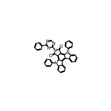 O=C1c2c(c3c(c4ccccc4n3-c3ccccc3)c3c4ccccc4n(-c4ccccc4)c23)C(=O)N1c1ncnc(-c2ccccc2)n1